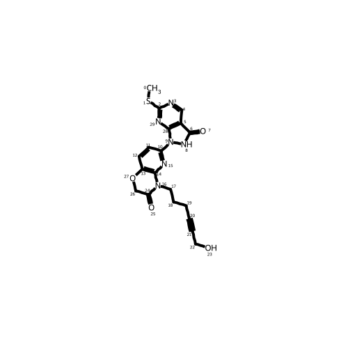 CSc1ncc2c(=O)[nH]n(-c3ccc4c(n3)N(CCCC#CCO)C(=O)CO4)c2n1